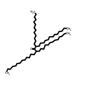 CCCCCCCCCCCCCC(CCCCCCCCCCCCC)C(=O)C(CCCCCCCCCCCCC)CCCCCCCCCCCCC